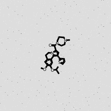 COc1cc2c(cc1OC(C)C)-c1c(-c3cccs3)cc(C(=O)N3CCCN(C)CC3)n1CC2